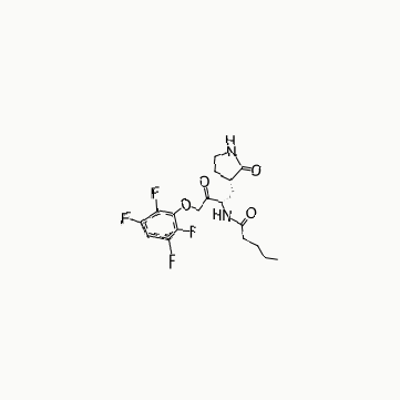 CCCCC(=O)N[C@@H](C[C@@H]1CCNC1=O)C(=O)COc1c(F)c(F)cc(F)c1F